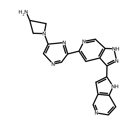 NC1CN(c2cncc(-c3cc4c(-c5cc6cnccc6[nH]5)n[nH]c4cn3)n2)C1